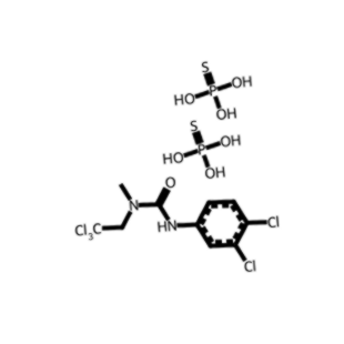 CN(CC(Cl)(Cl)Cl)C(=O)Nc1ccc(Cl)c(Cl)c1.OP(O)(O)=S.OP(O)(O)=S